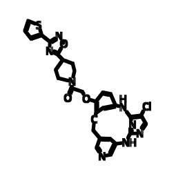 O=C(COc1ccc2cc1CCc1cncc(c1)Nc1ncc(Cl)c(n1)N2)N1CCC(c2nc(-c3cccs3)no2)CC1